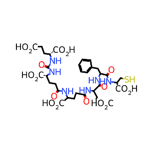 O=C(O)CC[C@@H](NC(=O)N[C@H](CCC(=O)NC(CCC(=O)NC(CC(=O)O)C(=O)NC(Cc1ccccc1)C(=O)NC(CS)C(=O)O)C(=O)O)C(=O)O)C(=O)O